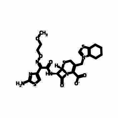 COCCO/N=C(\C(=O)N[C@@H]1C(=O)N2C(C(=O)[O-])=C(C[n+]3csc4c3CCCC4)CS[C@@H]12)c1csc(N)n1